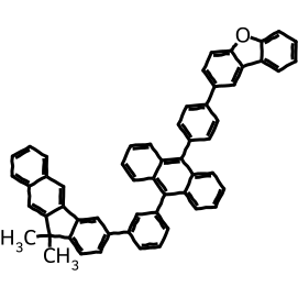 CC1(C)c2ccc(-c3cccc(-c4c5ccccc5c(-c5ccc(-c6ccc7oc8ccccc8c7c6)cc5)c5ccccc45)c3)cc2-c2cc3ccccc3cc21